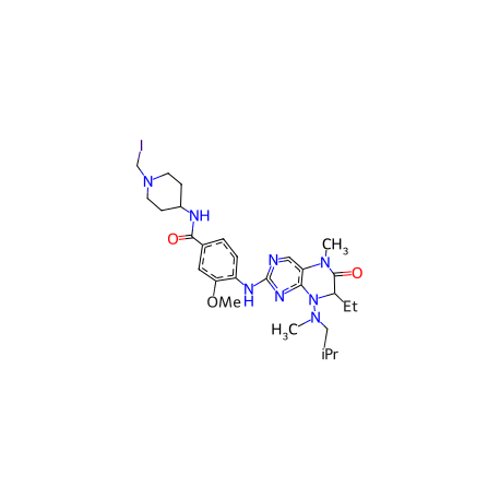 CCC1C(=O)N(C)c2cnc(Nc3ccc(C(=O)NC4CCN(CI)CC4)cc3OC)nc2N1N(C)CC(C)C